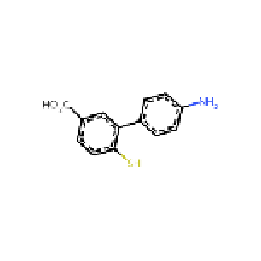 Nc1ccc(-c2cc(C(=O)O)ccc2S)cc1